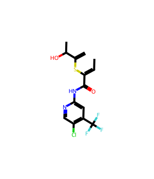 C=C(S/C(=C\C)C(=O)Nc1cc(C(F)(F)F)c(Cl)cn1)C(C)O